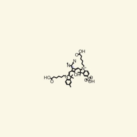 C=N/C(C#N)=C1/C(=CC2=[N+](CCCCCC(=O)O)c3ccc(S(=O)(=O)O)cc3C2(C)C)C(O)=C1C=C1N(CCCCCC(=O)O)c2ccc(C)cc2C1(C)C